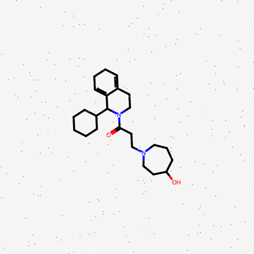 O=C(CCN1CCCC(O)CC1)N1CCC2=CCCC=C2C1C1CCCCC1